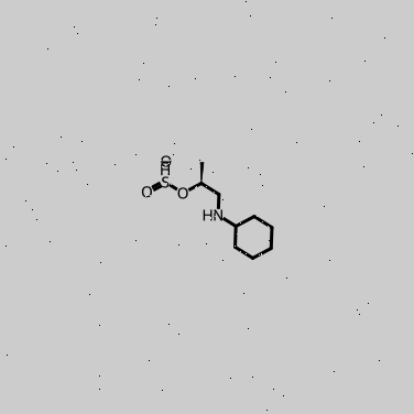 C[C@@H](CNC1CCCCC1)O[SH](=O)=O